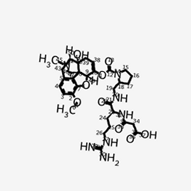 COc1ccc2c3c1O[C@H]1C(OC(=O)N4CCCC4CNC(=O)[C@H](CCCNC(=N)N)NC(=O)CC(=O)O)=CC[C@@]4(O)[C@@H](C2)N(C)CC[C@]314